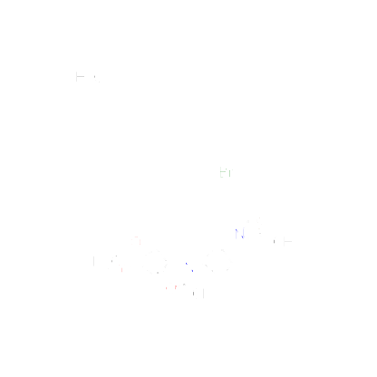 CCCCCCCCCCCCCCOc1cc(CN(C(C)=O)c2cccc(C[n+]3csc(C)c3)c2)ccc1OC.[Br-]